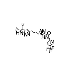 O=C(NCc1ccc(C(F)(F)F)cn1)c1cn(CCCCc2cc3c(C4CC4)c(C4CC4)[nH]c3nn2)nn1